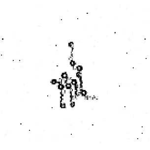 CC(=O)Nc1ccc(OCCCCCN2CCCC2)cc1.CCN(CC)CCCOc1ccc(C(C)=O)cc1.O=C(Cc1ccccc1)c1ccc(OCCCCCN2CCCC2)cc1.O=C(c1ccccc1)c1ccc(OCCCCCN2CCCC2)cc1.c1ccc(Oc2ccc(OCCCCCN3CCCC3)cc2)cc1